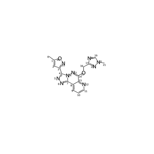 Cc1cc(-c2nnc3c4cccnc4c(OCc4ncn(C)n4)nn23)no1